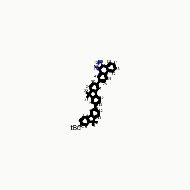 CC(C)(C)c1ccc2c(c1)C(C)(C)c1ccc(-c3ccc4c(c3)C(C)(C)c3ccc(-c5ccc6c7ccccc7c7nsnc7c6c5)cc3-4)cc1-2